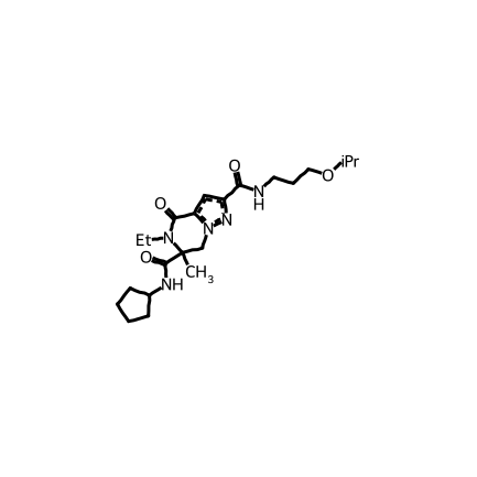 CCN1C(=O)c2cc(C(=O)NCCCOC(C)C)nn2CC1(C)C(=O)NC1CCCC1